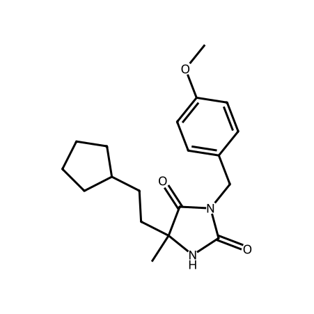 COc1ccc(CN2C(=O)NC(C)(CCC3CCCC3)C2=O)cc1